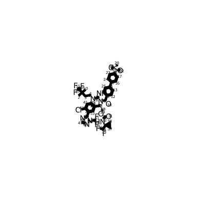 CC(C)(CCNC(=N)N(C(=O)c1ccc(-c2ccc(S(C)(=O)=O)cc2)cc1)[C@H](COC(=O)NC1(C(F)F)CC1)c1ccc(Cl)c(-c2ncnn2C(F)F)c1)C(F)(F)F